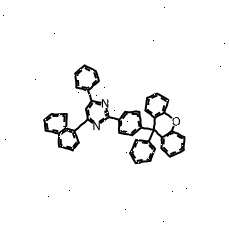 c1ccc(-c2cc(-c3cccc4ccccc34)nc(-c3ccc(C4(c5ccccc5)c5ccccc5Oc5ccccc54)cc3)n2)cc1